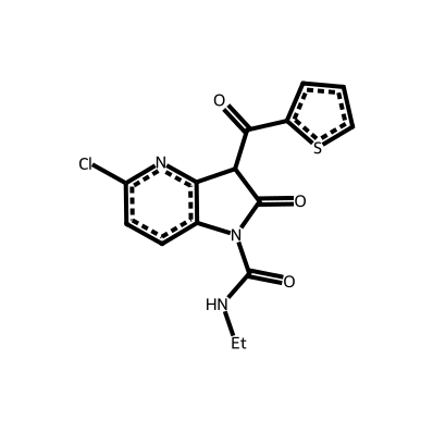 CCNC(=O)N1C(=O)C(C(=O)c2cccs2)c2nc(Cl)ccc21